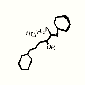 Cl.NC(CC1CCCCC1)C(O)CCCC1CCCCC1